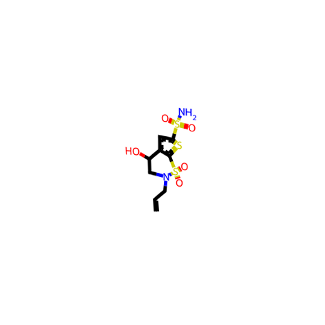 C=CCN1CC(O)c2cc(S(N)(=O)=O)sc2S1(=O)=O